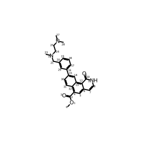 COC(=O)c1cc2cc[nH]c(=O)c2c2cc(-c3cccc(CN(C)CCN(C)C)c3)ccc12